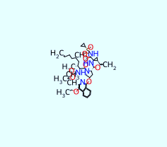 C=CCCC(C)C[C@@H](C)[C@H](NC(=O)OC(C)(C)C)C(=O)N1C[C@H](Oc2ncc(OCC)c3ccccc23)C[C@H]1C(=O)N[C@]1(C(=O)NS(=O)(=O)C2CC2)C[C@H]1C=C